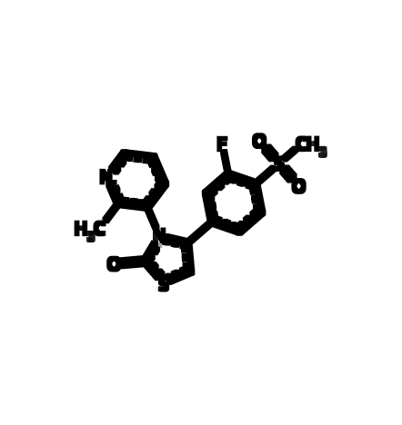 Cc1ncccc1-n1c(-c2ccc(S(C)(=O)=O)c(F)c2)csc1=O